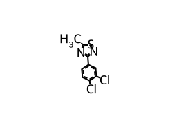 Cc1nc(-c2ccc(Cl)c(Cl)c2)ns1